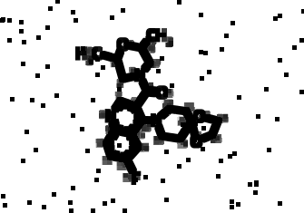 CC1CN(C(=O)c2cnc3ccc(F)cc3c2N2CCC3(CC2)OCCO3)CC(C)O1